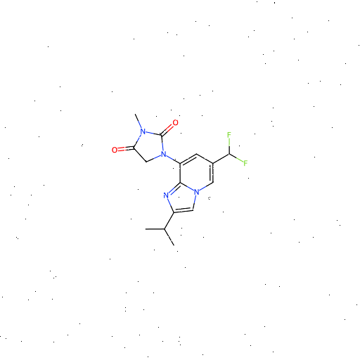 CC(C)c1cn2cc(C(F)F)cc(N3CC(=O)N(C)C3=O)c2n1